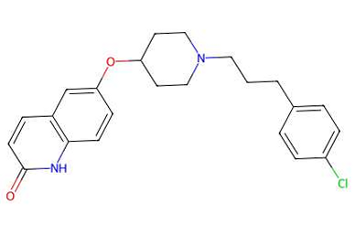 O=c1ccc2cc(OC3CCN(CCCc4ccc(Cl)cc4)CC3)ccc2[nH]1